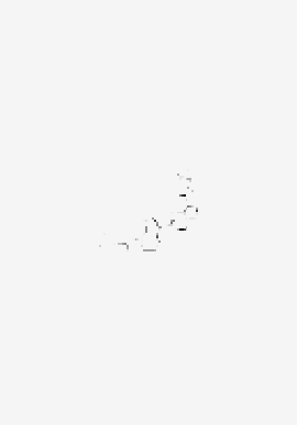 CNc1cc(-c2cnc3n(CC(=O)N4CCOCC4)cccc2-3)nc2c(C(=O)N[C@@H]3CC[C@H]3OC)cnn12